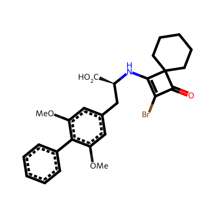 COc1cc(C[C@H](NC2=C(Br)C(=O)C23CCCCC3)C(=O)O)cc(OC)c1-c1ccccc1